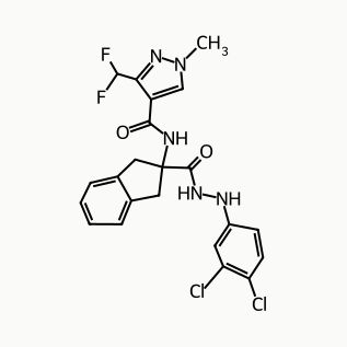 Cn1cc(C(=O)NC2(C(=O)NNc3ccc(Cl)c(Cl)c3)Cc3ccccc3C2)c(C(F)F)n1